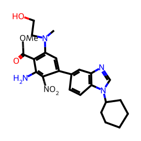 COC(=O)c1c(N(C)CCO)cc(-c2ccc3c(c2)ncn3C2CCCCC2)c([N+](=O)[O-])c1N